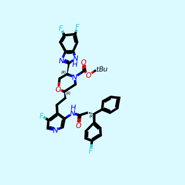 CC(C)(C)OC(=O)N1C[C@@H](CCc2c(F)cncc2NC(=O)C[C@H](c2ccccc2)c2ccc(F)cc2)OC[C@H]1c1nc2cc(F)c(F)cc2[nH]1